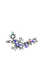 C=C(/C=N\C(=C/C)C1=CN(/C(=C(\C)CC)N(C)c2nc(-c3ccc(F)cc3)c(C#N)s2)C(=C)C=C1)CC(=O)N1CCCC1